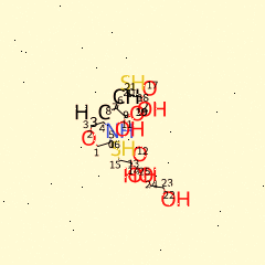 C1COCCN1.C=C(C)C(=O)O.O=C(O)CS.O=C(O)CS.OCCO